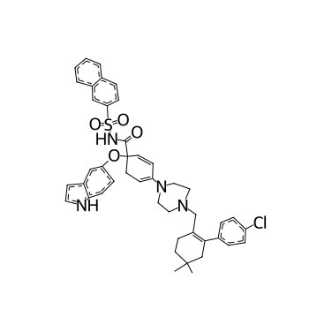 CC1(C)CCC(CN2CCN(C3=CCC(Oc4ccc5[nH]ccc5c4)(C(=O)NS(=O)(=O)c4ccc5ccccc5c4)C=C3)CC2)=C(c2ccc(Cl)cc2)C1